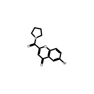 O=C(c1cc(=O)c2cc(Br)ccc2o1)N1CCCC1